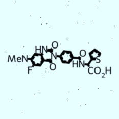 CNc1cc2[nH]c(=O)n(-c3ccc(C(=O)NC(C(=O)O)c4cccs4)cc3)c(=O)c2cc1F